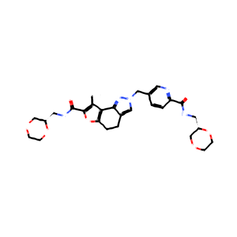 Cc1c(C(=O)NC[C@@H]2COCCO2)oc2c1-c1nn(Cc3ccc(C(=O)NC[C@@H]4COCCO4)nc3)cc1CC2